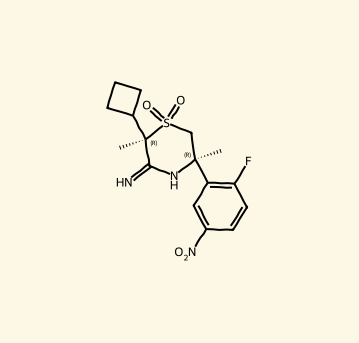 C[C@@]1(C2CCC2)C(=N)N[C@](C)(c2cc([N+](=O)[O-])ccc2F)CS1(=O)=O